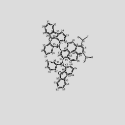 CC(C)c1cc(C(C)C)c2ccc3c(N(c4ccccc4)c4cccc5c4oc4ccccc45)cc(N(c4ccccc4)c4cccc5c4oc4ccccc45)c4ccc1c2c43